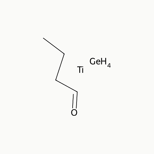 CCCC=O.[GeH4].[Ti]